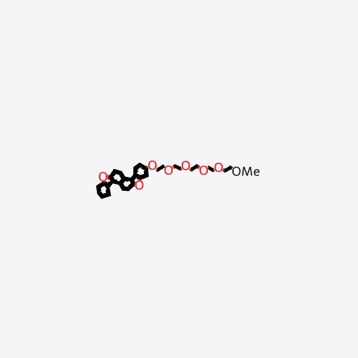 COCCOCCOCCOCCOCCOc1ccc2c(c1)oc1ccc3c(ccc4oc5ccccc5c43)c12